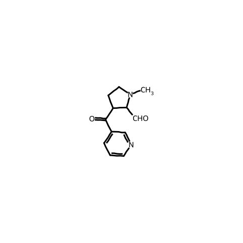 CN1CCC(C(=O)c2cccnc2)C1C=O